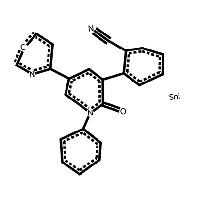 N#Cc1ccccc1-c1cc(-c2ccccn2)cn(-c2ccccc2)c1=O.[Sn]